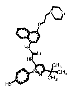 CC(C)(C)c1cc(NC(=O)Nc2ccc(OCCN3CCOCC3)c3ccccc23)n(-c2ccc(S)cc2)n1